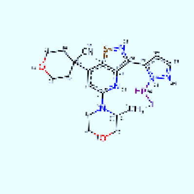 C[C@@H]1COCCN1c1cc(C2(C#N)CCOCC2)c2snc(-c3ccnn3PI)c2n1